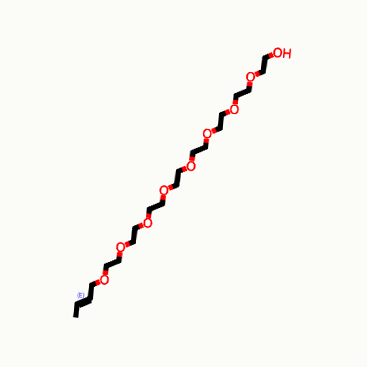 C/C=C/COCCOCCOCCOCCOCCOCCOCCOCCO